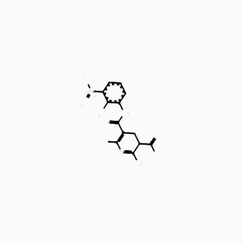 CC1=NC(C)=C(C(=O)Oc2cccc([N+](=O)[O-])c2O)CC1C(=O)O